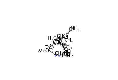 COc1cc2cc(c1Cl)N(C)C(=O)C[C@H](OC(=O)[C@H](C)N(C)C(=O)CCC(C)(C)SSCCCON)[C@]1(C)O[C@H]1[C@H](C)[C@@H]1C[C@@](O)(NC(=O)O1)[C@H](OC)/C=C/C=C(\C)C2